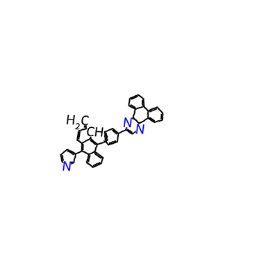 C=C/C=C\c1c(C)c(-c2ccc(-c3cnc4c5ccccc5c5ccccc5c4n3)cc2)c2ccccc2c1-c1cccnc1